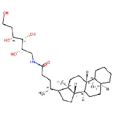 C[C@H](CCC(=O)NC[C@H](O)[C@@H](O)[C@H](O)CCO)C1CC[C@H]2[C@@H]3CC[C@@H]4CCCC[C@]4(C)[C@H]3CC[C@]12C